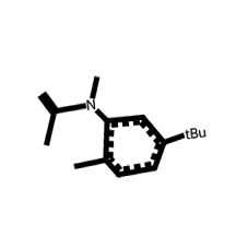 C=C(C)N(C)c1cc(C(C)(C)C)ccc1C